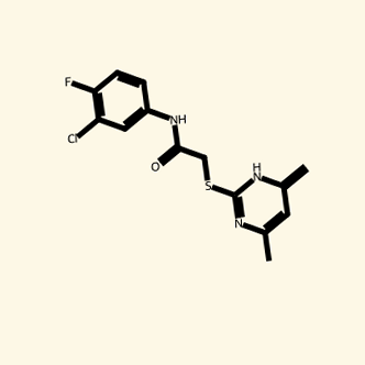 C=C1C=C(C)N=C(SCC(=O)Nc2ccc(F)c(Cl)c2)N1